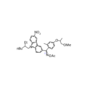 CCCCC(CC)Cn1c2ccc(/C(=N/OC(C)=O)c3ccc(OC(C)COC)cc3C)cc2c2cc([N+](=O)[O-])ccc21